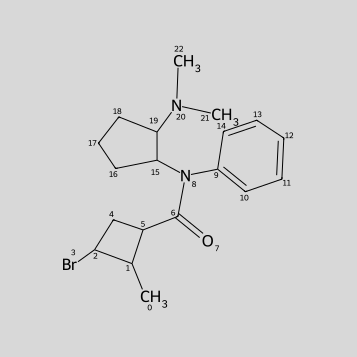 CC1C(Br)CC1C(=O)N(c1ccccc1)C1CCCC1N(C)C